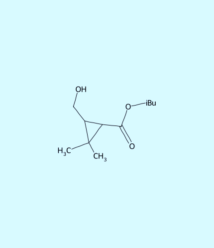 CCC(C)OC(=O)C1C(CO)C1(C)C